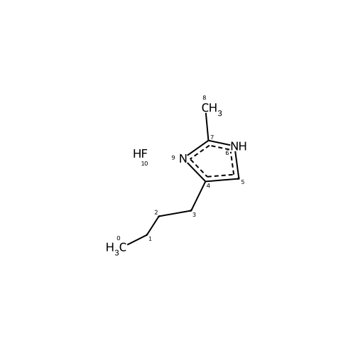 CCCCc1c[nH]c(C)n1.F